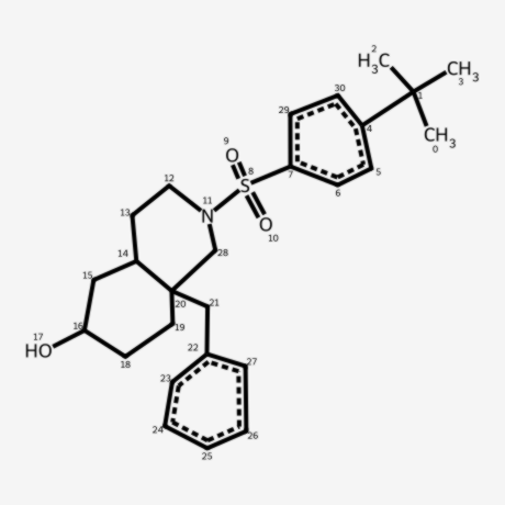 CC(C)(C)c1ccc(S(=O)(=O)N2CCC3CC(O)CCC3(Cc3ccccc3)C2)cc1